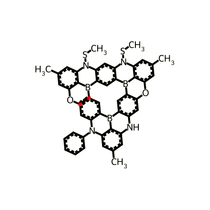 CSN1c2cc3c(cc2B2c4ccccc4Oc4cc(C)cc1c42)B1c2cc4c(cc2Oc2cc(C)cc(c21)N3SC)Nc1cc(C)cc2c1B4c1ccccc1N2c1ccccc1